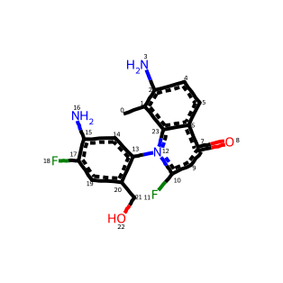 Cc1c(N)ccc2c(=O)cc(F)n(-c3cc(N)c(F)cc3CO)c12